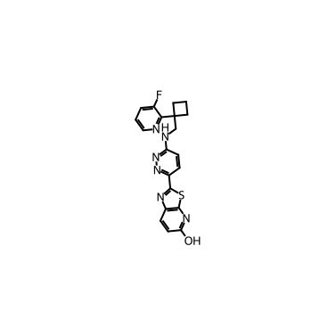 Oc1ccc2nc(-c3ccc(NCC4(c5ncccc5F)CCC4)nn3)sc2n1